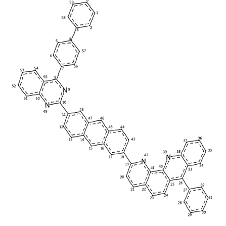 c1ccc(-c2ccc(-c3nc(-c4ccc5cc6cc(-c7ccc8ccc9c(-c%10ccccc%10)c%10ccccc%10nc9c8n7)ccc6cc5c4)nc4ccccc34)cc2)cc1